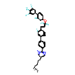 CCCCCc1cnc(-c2ccc(-c3ccc(/C=C/C(F)(F)Oc4ccc(-c5cc(F)c(F)c(F)c5)c(F)c4)c(F)c3)cc2)nc1